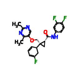 Cc1ncc(OC[C@@]2(C3C=CC=C(F)C3)C[C@H]2C(=O)Nc2ccc(F)c(F)c2)c(C)n1